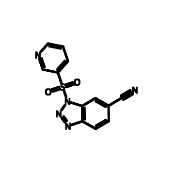 N#Cc1ccc2nnn(S(=O)(=O)c3cccnc3)c2c1